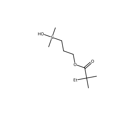 CCC(C)(C)C(=O)OCCC[Si](C)(C)O